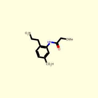 COCC(=O)Nc1cc(C(=O)O)ccc1CC[N+](=O)[O-]